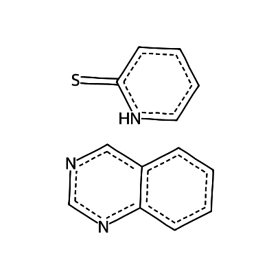 S=c1cccc[nH]1.c1ccc2ncncc2c1